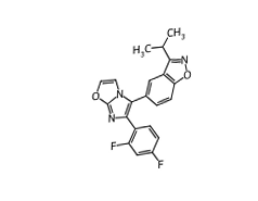 CC(C)c1noc2ccc(-c3c(-c4ccc(F)cc4F)nc4occn34)cc12